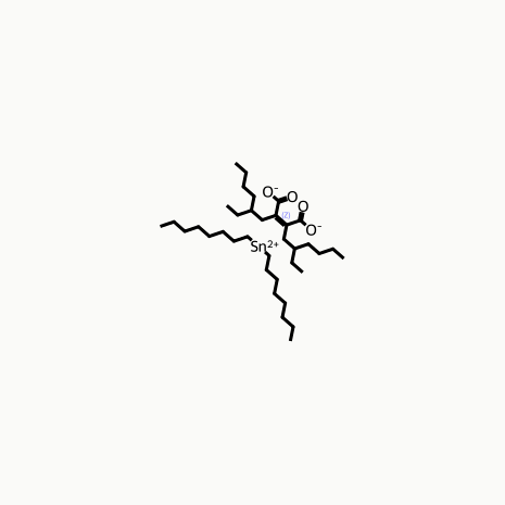 CCCCC(CC)C/C(C(=O)[O-])=C(\CC(CC)CCCC)C(=O)[O-].CCCCCCC[CH2][Sn+2][CH2]CCCCCCC